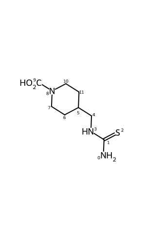 NC(=S)NCC1CCN(C(=O)O)CC1